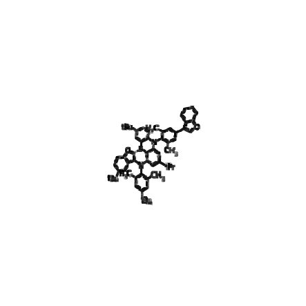 Cc1cc(-c2coc3ccccc23)cc(C)c1N1c2ccc(C(C)(C)C)cc2B2c3oc4ccc(C(C)(C)C)cc4c3N(c3c(C)cc(C(C)(C)C)cc3C)c3cc(C(C)C)cc1c32